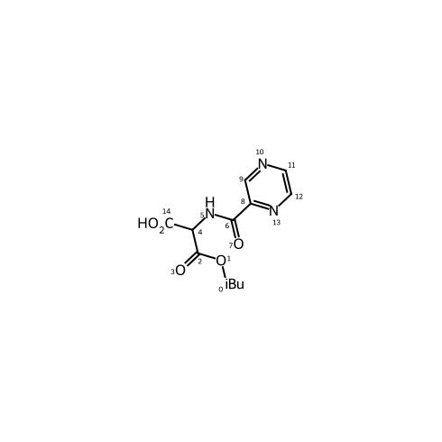 CCC(C)OC(=O)C(NC(=O)c1cnccn1)C(=O)O